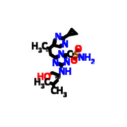 CC(C)C[C@H](CO)Nc1nc(C[C@H](C)c2cnc(C3CC3)nc2)nc(CS(N)(=O)=O)n1